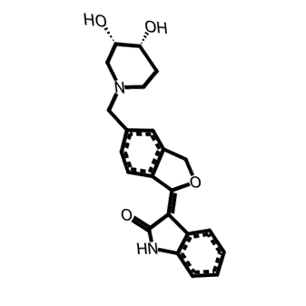 O=C1Nc2ccccc2C1=C1OCc2cc(CN3CC[C@@H](O)[C@@H](O)C3)ccc21